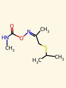 CNC(=O)ON=C(C)CSC(C)C